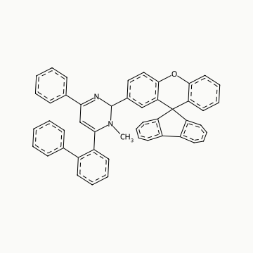 CN1C(c2ccccc2-c2ccccc2)=CC(c2ccccc2)=NC1c1ccc2c(c1)C1(c3ccccc3O2)c2ccccc2-c2ccccc21